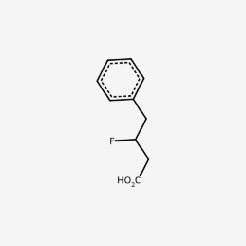 O=C(O)CC(F)Cc1ccccc1